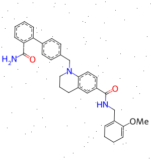 COC1=CCCC=C1CNC(=O)c1ccc2c(c1)CCCN2Cc1ccc(-c2ccccc2C(N)=O)cc1